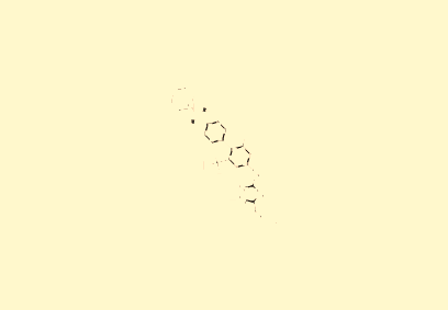 Nc1nc(Nc2cc(Cl)c(-c3ccc(S(=O)(=O)N4CCOCC4)cc3)c(C(F)(F)F)c2)n[nH]1